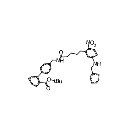 CC(C)(C)OC(=O)c1ccccc1-c1ccc(CNC(=O)CCCCc2cc(NCc3ccccc3)ccc2[N+](=O)[O-])cc1